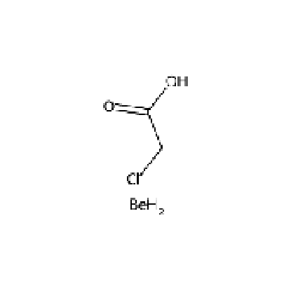 O=C(O)CCl.[BeH2]